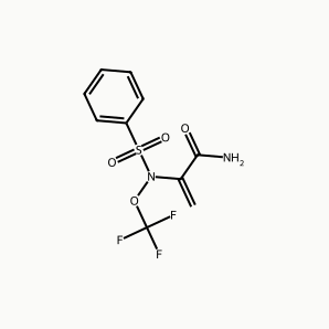 C=C(C(N)=O)N(OC(F)(F)F)S(=O)(=O)c1ccccc1